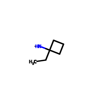 CCC1([NH])CCC1